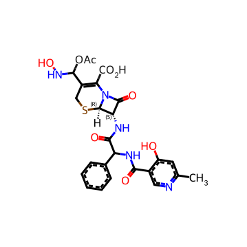 CC(=O)OC(NO)C1=C(C(=O)O)N2C(=O)[C@H](NC(=O)C(NC(=O)c3cnc(C)cc3O)c3ccccc3)[C@H]2SC1